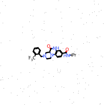 CC(C)NC(=O)c1ccc2c(c1)NC(=O)C1CN(Cc3ccccc3C(F)(F)F)CCN21